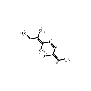 CC/C(C)=C(C)/N=C\C(Br)=N/C